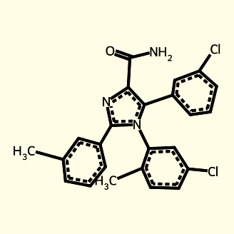 Cc1cccc(-c2nc(C(N)=O)c(-c3cccc(Cl)c3)n2-c2cc(Cl)ccc2C)c1